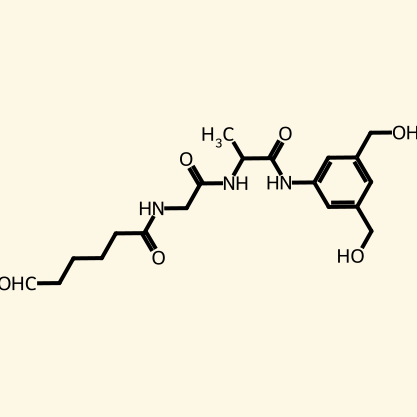 CC(NC(=O)CNC(=O)CCCCC=O)C(=O)Nc1cc(CO)cc(CO)c1